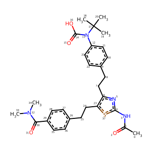 CC(=O)Nc1nc(CCc2ccc(N(C(=O)O)C(C)(C)C)cc2)c(CCc2ccc(C(=O)N(C)C)cc2)s1